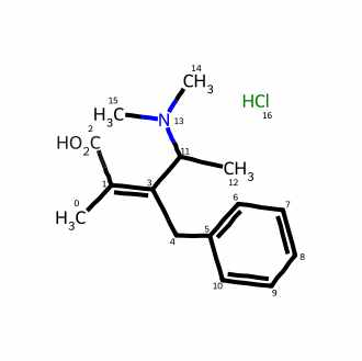 CC(C(=O)O)=C(Cc1ccccc1)C(C)N(C)C.Cl